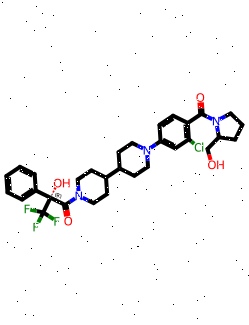 O=C(c1ccc(N2CCC(C3CCN(C(=O)[C@](O)(c4ccccc4)C(F)(F)F)CC3)CC2)cc1Cl)N1CCCC1CO